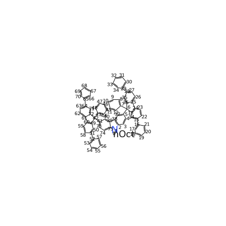 CCCCCCCCn1c2ccc(C3(c4ccccc4)c4cc(-c5ccccc5)ccc4-c4ccc(-c5ccccc5)cc43)cc2c2cc(C3(c4ccccc4)c4cc(-c5ccccc5)ccc4-c4ccc(-c5ccccc5)cc43)ccc21